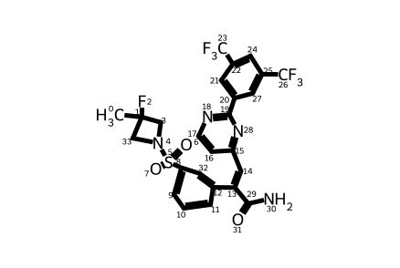 CC1(F)CN(S(=O)(=O)c2cccc(/C(=C\c3ccnc(-c4cc(C(F)(F)F)cc(C(F)(F)F)c4)n3)C(N)=O)c2)C1